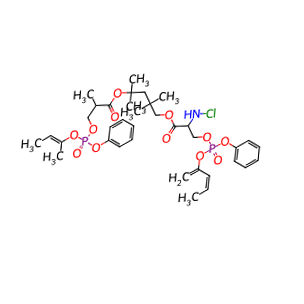 C=C(/C=C\C)OP(=O)(OCC(NCl)C(=O)OCC(C)(C)CC(C)(C)OC(=O)C(C)COP(=O)(O/C(C)=C/C)Oc1ccccc1)Oc1ccccc1